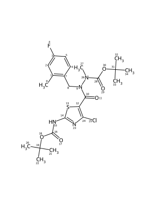 Cc1cc(F)ccc1CN(C(=O)c1sc(NC(=O)OC(C)(C)C)nc1Cl)N(C)C(=O)OC(C)(C)C